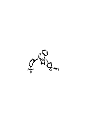 N#CC1(Cl)C=CC(C[N+]2(c3ccccc3)C(=O)CN2Nc2cccc(C(F)(F)F)c2)=CC1